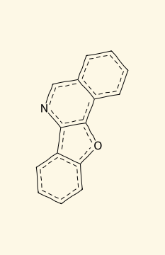 c1ccc2c(c1)cnc1c3ccccc3oc21